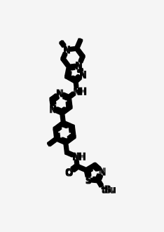 Cc1cc(-c2cc(Nc3cc4n(n3)CC(C)N(C)C4)ncn2)ccc1CNC(=O)c1cnc(C(C)(C)C)s1